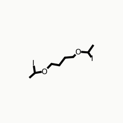 CC(I)OCCCCOC(C)I